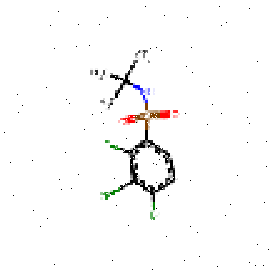 CC(C)(NS(=O)(=O)c1ccc(Br)c(Cl)c1F)C(F)(F)F